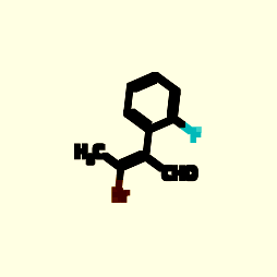 C/C(Br)=C(/C=O)c1ccccc1F